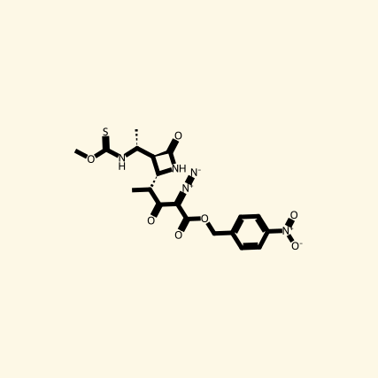 COC(=S)N[C@H](C)[C@H]1C(=O)N[C@@H]1C(C)C(=O)C(=[N+]=[N-])C(=O)OCc1ccc([N+](=O)[O-])cc1